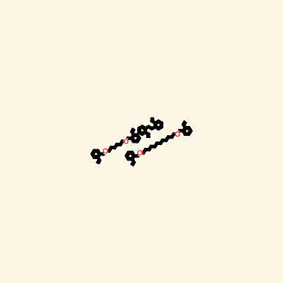 C=Cc1ccccc1CCc1ccccc1C=C.C=Cc1ccccc1COCCCCCCCCCCCCOCc1ccccc1C=C.C=Cc1ccccc1COCCCCCCOCc1ccccc1C=C